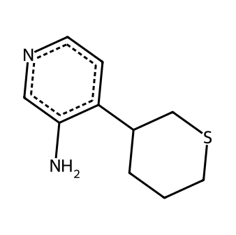 Nc1cnccc1C1CCCSC1